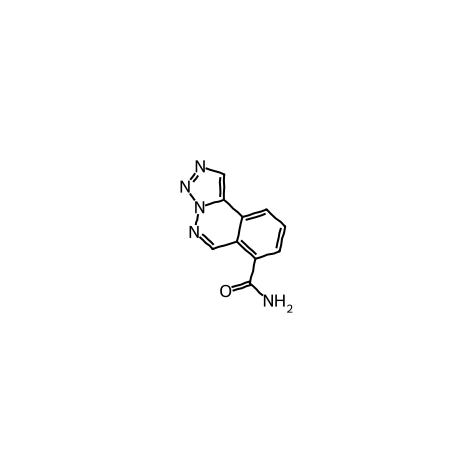 NC(=O)c1cccc2c1cnn1nncc21